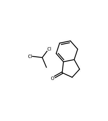 CC(Cl)Cl.O=C1CCC2CC=CC=C12